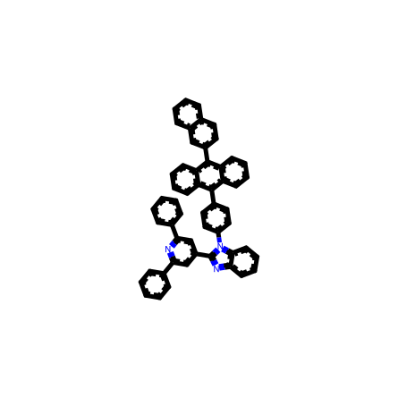 c1ccc(-c2cc(-c3nc4ccccc4n3-c3ccc(-c4c5ccccc5c(-c5ccc6ccccc6c5)c5ccccc45)cc3)cc(-c3ccccc3)n2)cc1